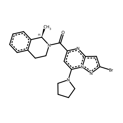 C[C@@H]1c2ccccc2CCN1C(=O)c1cc(N2CCCC2)n2nc(Br)cc2n1